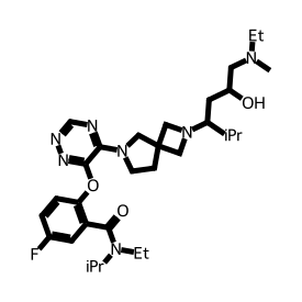 CCN(C)CC(O)CC(C(C)C)N1CC2(CCN(c3ncnnc3Oc3ccc(F)cc3C(=O)N(CC)C(C)C)C2)C1